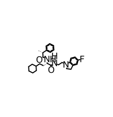 C[C@@H](C(=O)N[C@@H](CCC1CCCCC1)C(=O)NCCN1CCc2cc(F)ccc21)c1ccccc1